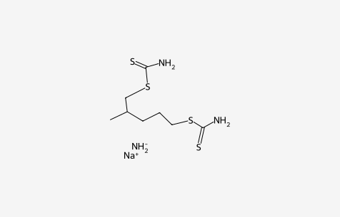 CC(CCCSC(N)=S)CSC(N)=S.[NH2-].[Na+]